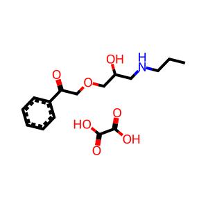 CCCNCC(O)COCC(=O)c1ccccc1.O=C(O)C(=O)O